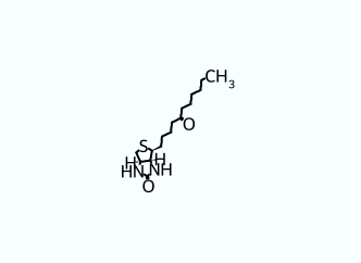 CCCCCCC(=O)CCCC[C@@H]1SC[C@@H]2NC(=O)N[C@@H]21